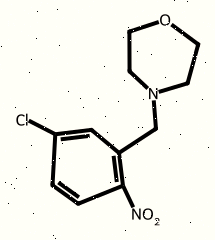 O=[N+]([O-])c1ccc(Cl)cc1CN1CCOCC1